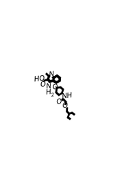 CCC(CC)CCOCC(=O)N[C@H]1CC[C@H](Oc2cccc3nc(C)c(C(=O)O)c(N)c23)CC1